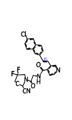 N#CC1CCC(F)(F)CN1C(=O)CNC(=O)c1ccncc1/C=C/c1ccc2cc(Cl)ccc2c1